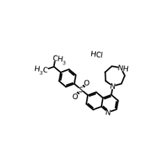 CC(C)c1ccc(S(=O)(=O)c2ccc3nccc(N4CCCNCC4)c3c2)cc1.Cl